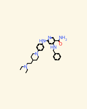 CCN(CC)CCC1CCN(c2ccc(Nc3cc(NCc4ccccc4)c(C(N)=O)cn3)cc2)CC1